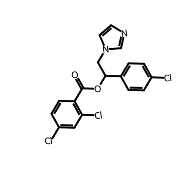 O=C(OC(Cn1ccnc1)c1ccc(Cl)cc1)c1ccc(Cl)cc1Cl